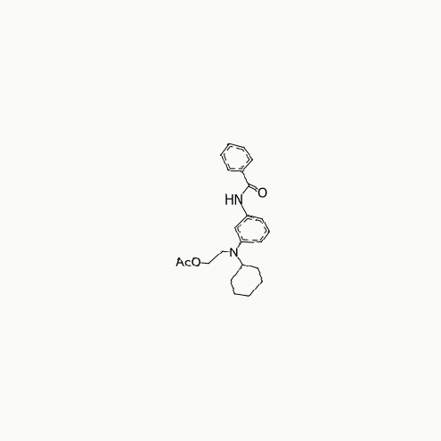 CC(=O)OCCN(c1cccc(NC(=O)c2ccccc2)c1)C1CCCCC1